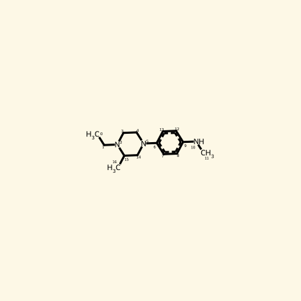 CCN1CCN(c2ccc(NC)cc2)CC1C